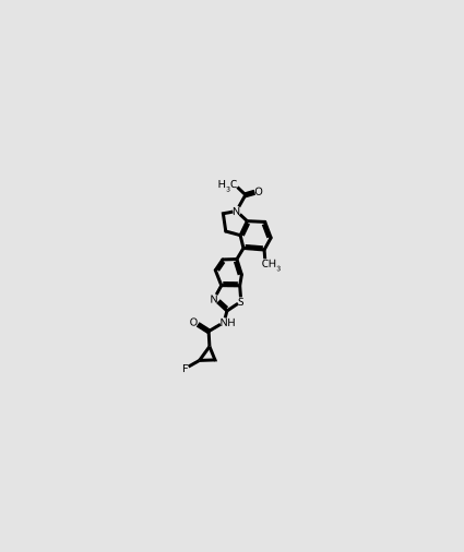 CC(=O)N1CCc2c1ccc(C)c2-c1ccc2nc(NC(=O)C3CC3F)sc2c1